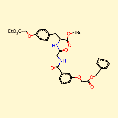 CCOC(=O)COc1ccc(CC(NC(=O)CNC(=O)c2cccc(OCC(=O)OCc3ccccc3)c2)C(=O)OC(C)(C)C)cc1